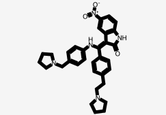 O=C1Nc2ccc([N+](=O)[O-])cc2C1=C(Nc1ccc(CN2CCCC2)cc1)c1ccc(CCN2CCCC2)cc1